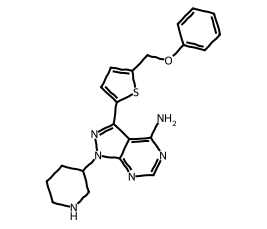 Nc1ncnc2c1c(-c1ccc(COc3ccccc3)s1)nn2C1CCCNC1